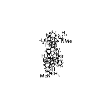 CN[C@@H](C)C(=S)C[C@H]1CCS[C@H]2CC(C)(C)[C@@H](C(=O)N[C@H](C(=O)N3CCN(C(=O)[C@@H](NC(=O)[C@H]4N5C(=O)[C@@H](NC(=S)[C@H](C)NC)CCS[C@H]5CC4(C)C)c4ccccc4)CC3)c3ccccc3)N2C1=O